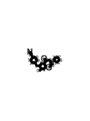 Cc1cc2c(cc1Cc1ccc(C#N)cc1)C(=O)CN(C1CCCC1)CO2